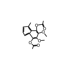 COc1c(OC)c(OC(C)=O)c2c(C)cccc2c1OC(C)=O